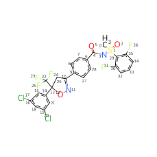 CS(=O)(=NC(=O)c1ccc(C2=NOC(c3cc(Cl)cc(Cl)c3)(C(F)(F)F)C2)cc1)c1c(F)cccc1F